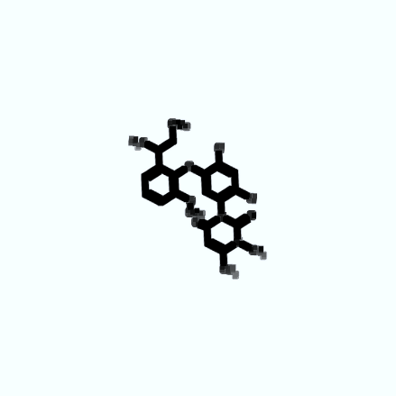 COCC(C)c1cccc(OOC(C)=O)c1Oc1cc(-n2c(=O)cc(C(Cl)(Cl)Cl)n(C)c2=O)c(Cl)cc1Cl